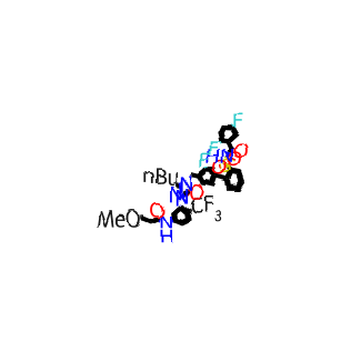 CCCCc1nn(-c2cc(NC(=O)CCOC)ccc2C(F)(F)F)c(=O)n1Cc1ccc(-c2ccccc2S(=O)(=O)NC(=O)c2cc(F)ccc2F)cc1F